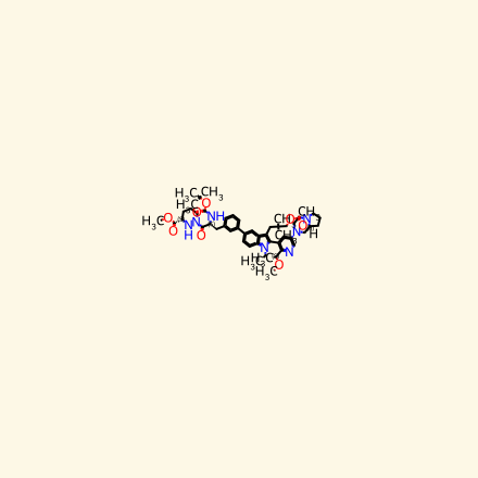 CCn1c(-c2cc(N3CCN4CCC[C@@H]4C3)cnc2[C@H](C)OC)c(CC(C)(C)COC(C)=O)c2cc(-c3cccc(C[C@H](NC(=O)OC(C)(C)C)C(=O)N4CCC[C@@H](C(=O)OC)N4)c3)ccc21